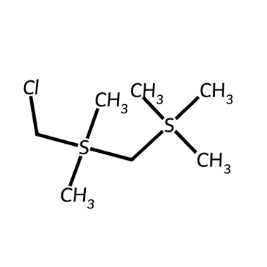 CS(C)(C)CS(C)(C)CCl